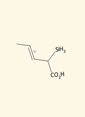 C/C=C/C([SiH3])C(=O)O